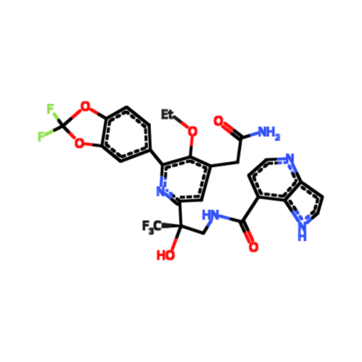 CCOc1c(CC(N)=O)cc([C@@](O)(CNC(=O)c2ccnc3cc[nH]c23)C(F)(F)F)nc1-c1ccc2c(c1)OC(F)(F)O2